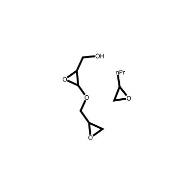 CCCC1CO1.OCC1OC1OCC1CO1